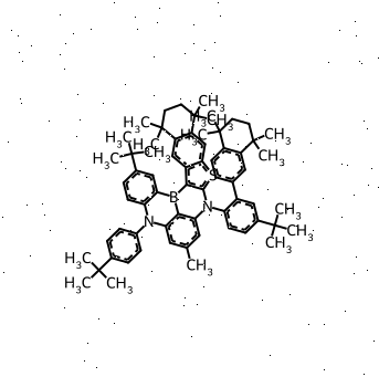 Cc1cc2c3c(c1)N(c1ccc(C(C)(C)C)cc1-c1ccc4c(c1)C(C)(C)CCC4(C)C)c1sc4cc5c(cc4c1B3c1cc(C(C)(C)C)ccc1N2c1ccc(C(C)(C)C)cc1)C(C)(C)CCC5(C)C